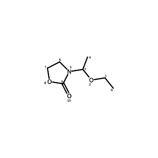 CCOC(C)N1CCOC1=O